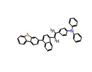 [2H]/C(=C(/[2H])c1ccc(-c2ccc3c(c2)sc2ccccc23)c2ccccc12)c1ccc(N(c2ccccc2)c2ccccc2)cc1